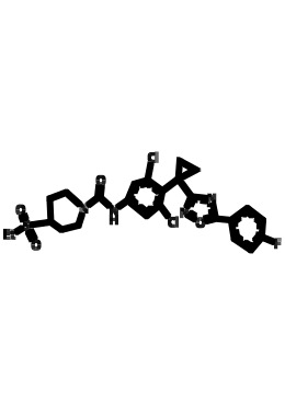 CCS(=O)(=O)C1CCN(C(=O)Nc2cc(Cl)c(C3(c4noc(-c5ccc(F)cc5)n4)CC3)c(Cl)c2)CC1